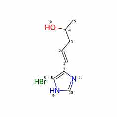 Br.C=CCC(C)O.c1c[nH]cn1